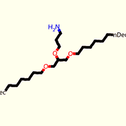 CCCCCCCCCCCCCCCCOCC(COCCCCCCCCCCCCCCCC)OCCCN